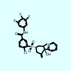 C=C1C[C@H](S(=O)(=O)c2cc(C(=O)Nc3cc(F)c(F)c(F)c3)ccc2Cl)CC(C)[C@]1(O)c1ccccn1